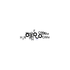 COc1cc(/C=C\c2ccc(F)c(OC)c2NS(=O)(=O)c2cccc(N)c2)cc(OC)c1OC